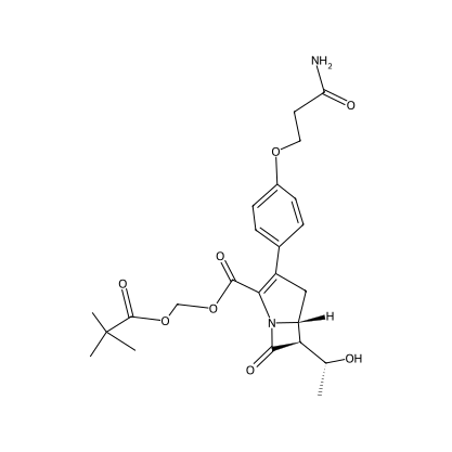 C[C@@H](O)[C@H]1C(=O)N2C(C(=O)OCOC(=O)C(C)(C)C)=C(c3ccc(OCCC(N)=O)cc3)C[C@H]12